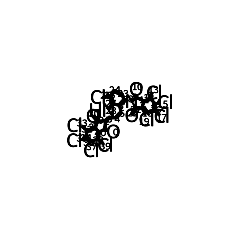 O=C1C(=C2C=Cc3c(N4C(=O)c5c(Cl)c(Cl)c(Cl)c(Cl)c5C4=O)ccc(Cl)c3N2)C(=O)c2c(Cl)c(Cl)c(Cl)c(Cl)c21